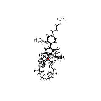 CCCCCc1ccc(-c2cc3ccc(OCC(F)(F)OC(F)(F)OC(F)(F)OC(F)(F)COC(=O)C(C)(CC(C)(C)N)C(C)(C)N)cc3oc2=O)c(OC)c1